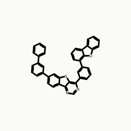 c1ccc(-c2cccc(-c3ccc4c(c3)sc3c(-c5cccc(-c6cccc7c6oc6ccccc67)c5)ncnc34)c2)cc1